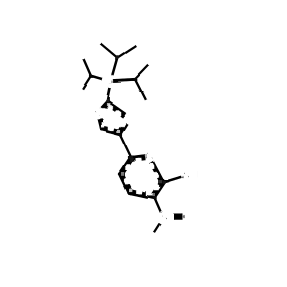 CC(C)[Si](c1ncc(-c2ccc([N+](=O)[O-])c(N)n2)o1)(C(C)C)C(C)C